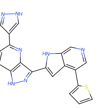 c1csc(-c2cncc3[nH]c(-c4n[nH]c5ccc(-c6cn[nH]c6)nc45)cc23)c1